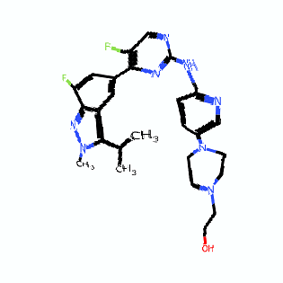 CC(C)c1c2cc(-c3nc(Nc4ccc(N5CCN(CCO)CC5)cn4)ncc3F)cc(F)c2nn1C